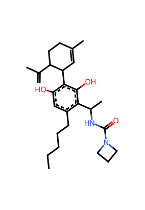 C=C(C)C1CCC(C)=CC1c1c(O)cc(CCCCC)c(C(C)NC(=O)N2CCC2)c1O